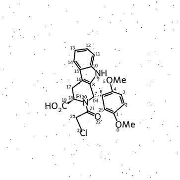 COc1ccc(OC)c([C@H]2c3[nH]c4ccccc4c3C[C@H](C(=O)O)N2C(=O)CCl)c1